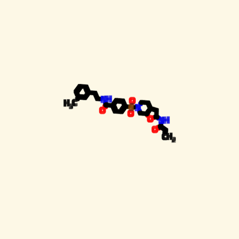 C=CC(=O)NC1CC2CCN(S(=O)(=O)c3ccc(C(=O)NCCc4cccc(C)c4)cc3)CC2O1